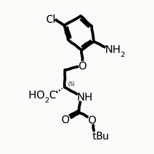 CC(C)(C)OC(=O)N[C@@H](COc1cc(Cl)ccc1N)C(=O)O